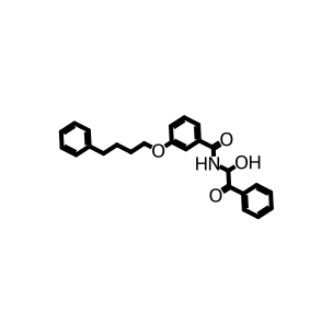 O=C(NC(O)C(=O)c1ccccc1)c1cccc(OCCCCc2ccccc2)c1